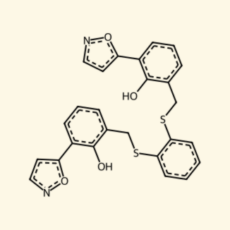 Oc1c(CSc2ccccc2SCc2cccc(-c3ccno3)c2O)cccc1-c1ccno1